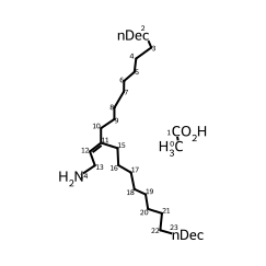 CC(=O)O.CCCCCCCCCCCCCCCCCCC(=CCN)CCCCCCCCCCCCCCCCCC